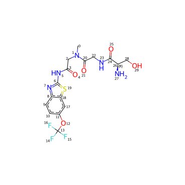 CN(CC(=O)Nc1nc2ccc(OC(F)(F)F)cc2s1)C(=O)CNC(=O)[C@H](N)CO